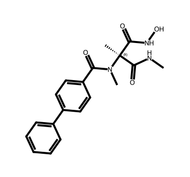 CNC(=O)[C@](C)(C(=O)NO)N(C)C(=O)c1ccc(-c2ccccc2)cc1